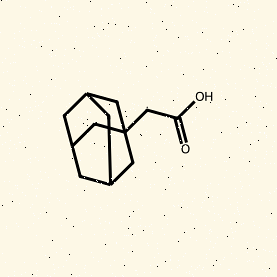 O=C(O)[CH]C12CC3CC(CC(C3)C1)C2